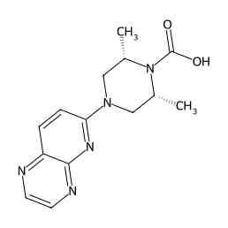 C[C@@H]1CN(c2ccc3nccnc3n2)C[C@H](C)N1C(=O)O